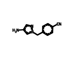 N#Cc1ccc(Cn2cc(N)cn2)cc1